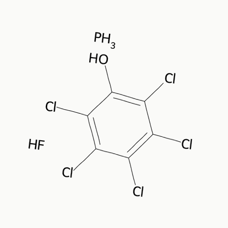 F.Oc1c(Cl)c(Cl)c(Cl)c(Cl)c1Cl.P